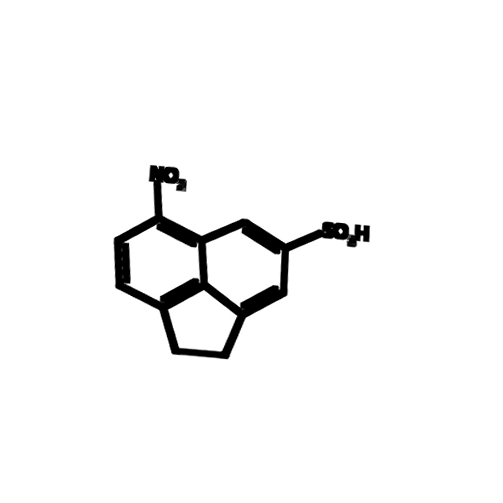 O=[N+]([O-])c1ccc2c3c(cc(S(=O)(=O)O)cc13)CC2